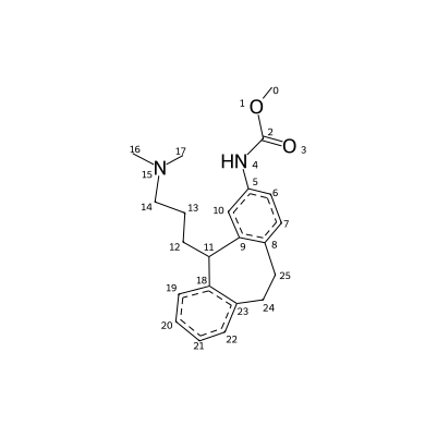 COC(=O)Nc1ccc2c(c1)C(CCCN(C)C)c1ccccc1CC2